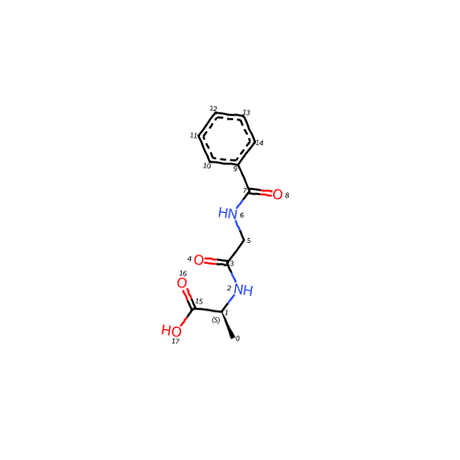 C[C@H](NC(=O)CNC(=O)c1ccccc1)C(=O)O